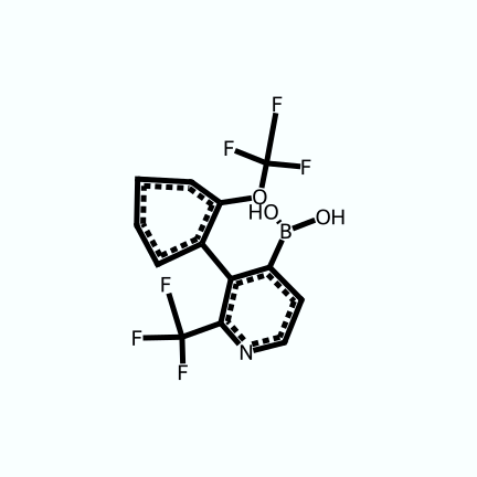 OB(O)c1ccnc(C(F)(F)F)c1-c1ccccc1OC(F)(F)F